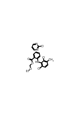 CCOCOC(=O)c1ccccc1Nc1c(Cl)ccc(C)c1Cl.Clc1ncccn1